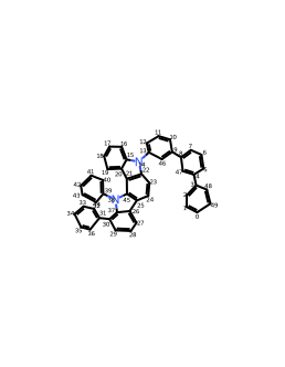 c1ccc(-c2cccc(-c3cccc(-n4c5ccccc5c5c4ccc4c6cccc(-c7ccccc7)c6n(-c6ccccc6)c45)c3)c2)cc1